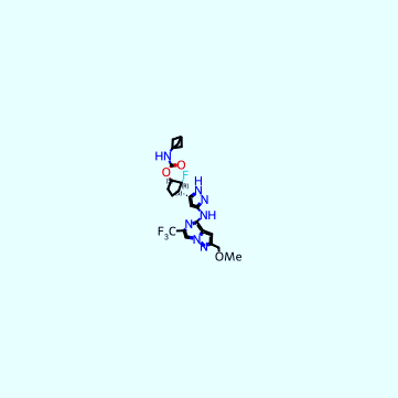 COCc1cc2c(Nc3cc([C@@H]4CC[C@H](OC(=O)NC56CC(C5)C6)[C@@H]4F)[nH]n3)nc(C(F)(F)F)cn2n1